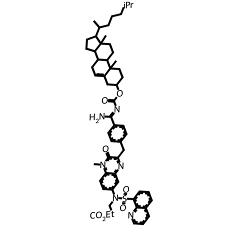 CCOC(=O)CN(c1ccc2c(c1)nc(Cc1ccc(C(N)=NC(=O)OC3CCC4(C)C(=CCC5C4CCC4(C)C(C(C)CCCC(C)C)CCC54)C3)cc1)c(=O)n2C)S(=O)(=O)c1cccc2cccnc12